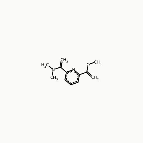 C=C(OC)c1cccc(C(=C)N(C)C)n1